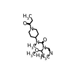 CCC(=O)N1CCC(N(C)C(=O)N(/C=N\C)C(C)OC)CC1